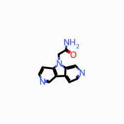 NC(=O)Cn1c2ccncc2c2ccncc21